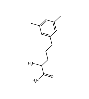 Cc1cc(C)cc(CCCC(N)C(N)=O)c1